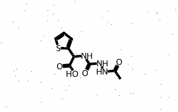 CC(=O)NNC(=O)NC(C(=O)O)c1cccs1